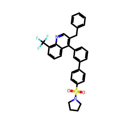 O=S(=O)(c1ccc(-c2cccc(-c3c(Cc4ccccc4)cnc4c(C(F)(F)F)cccc34)c2)cc1)N1CCCC1